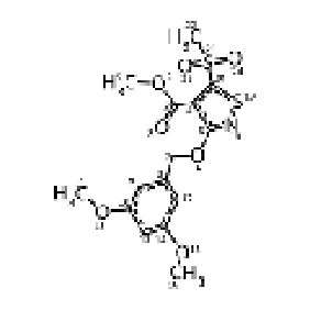 COC(=O)c1c(OCc2cc(OC)cc(OC)c2)nsc1S(C)(=O)=O